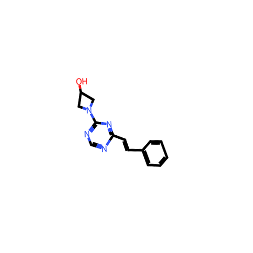 OC1CN(c2ncnc(C=Cc3ccccc3)n2)C1